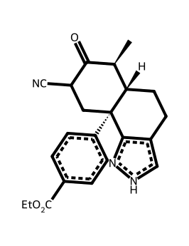 CCOC(=O)c1ccc([C@]23CC(C#N)C(=O)[C@@H](C)[C@@H]2CCc2c[nH]nc23)cc1